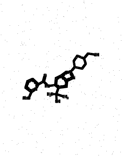 COc1cccc(C(=O)Nc2cc3cn(C4CCC(CO)CC4)nc3cc2C(C)(C)O)n1